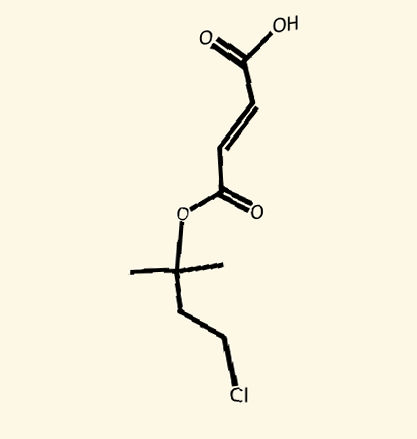 CC(C)(CCCl)OC(=O)C=CC(=O)O